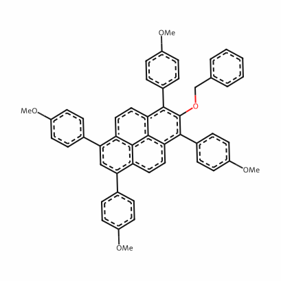 COc1ccc(-c2cc(-c3ccc(OC)cc3)c3ccc4c(-c5ccc(OC)cc5)c(OCc5ccccc5)c(-c5ccc(OC)cc5)c5ccc2c3c54)cc1